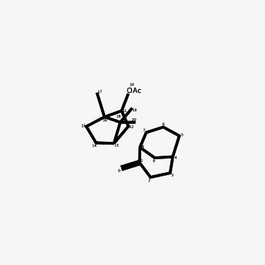 C=C1CCC2CCCC1C2.CC(=O)OC1CC2CCC1(C)C2(C)C